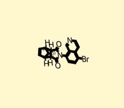 O=C1[C@@H]2[C@H](C(=O)N1c1ccc(Br)c3ccncc13)[C@@H]1C=C[C@H]2C1